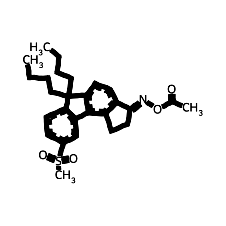 CCCCC1(CCCC)c2ccc(S(C)(=O)=O)cc2-c2c1ccc1c2CCC1=NOC(C)=O